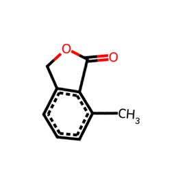 Cc1cccc2c1C(=O)OC2